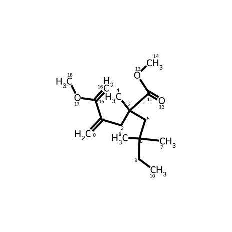 C=C(CC(C)(CC(C)(C)CC)C(=O)OC)C(=C)OC